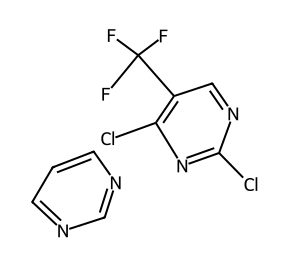 FC(F)(F)c1cnc(Cl)nc1Cl.c1cncnc1